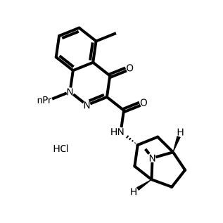 CCCn1nc(C(=O)N[C@H]2C[C@H]3CC[C@@H](C2)N3C)c(=O)c2c(C)cccc21.Cl